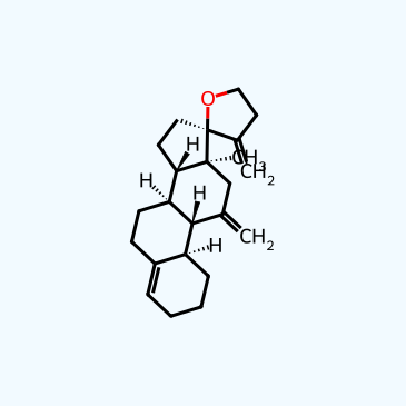 C=C1C[C@@]2(C)[C@@H](CC[C@@]23OCCC3=C)[C@@H]2CCC3=CCCC[C@@H]3[C@@H]12